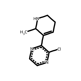 CC1NCCC=C1c1nccnc1Cl